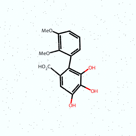 COc1cccc(-c2c(C(=O)O)cc(O)c(O)c2O)c1OC